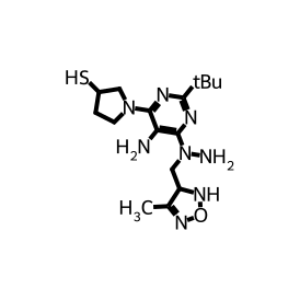 CC1=NONC1CN(N)c1nc(C(C)(C)C)nc(N2CCC(S)C2)c1N